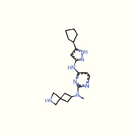 CN(c1nccc(Nc2cc(C3CCCC3)[nH]n2)n1)C1CC2(CNC2)C1